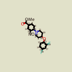 COC(=O)c1ccc(N2CCC(Oc3ccc(F)cc3F)CC2)c([N+](=O)[O-])c1